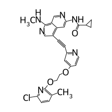 CNc1ncc(C#Cc2cc(OCCOc3nc(Cl)ccc3C)ccn2)c2cc(NC(=O)C3CC3)ncc12